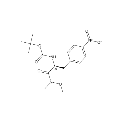 CON(C)C(=O)[C@H](Cc1ccc([N+](=O)[O-])cc1)NC(=O)OC(C)(C)C